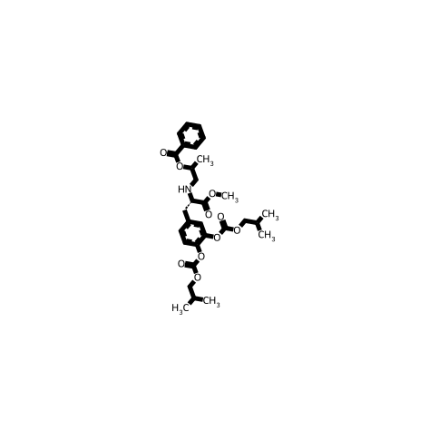 COC(=O)[C@H](Cc1ccc(OC(=O)OCC(C)C)c(OC(=O)OCC(C)C)c1)NCC(C)OC(=O)c1ccccc1